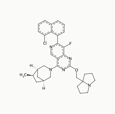 C[C@@H]1C[C@H]2C[C@@H]1CN(c1nc(OCC34CCCN3CCC4)nc3c(F)c(-c4cccc5cccc(Cl)c45)ncc13)C2